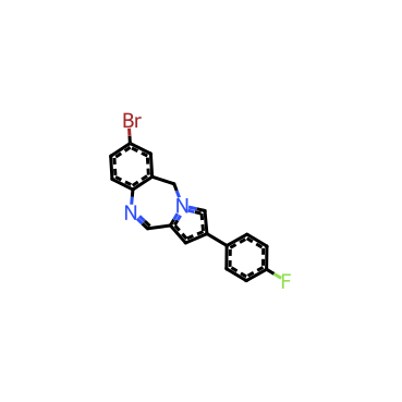 Fc1ccc(-c2cc3n(c2)Cc2cc(Br)ccc2N=C3)cc1